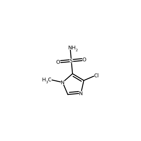 Cn1cnc(Cl)c1S(N)(=O)=O